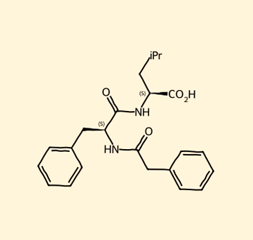 CC(C)C[C@H](NC(=O)[C@H](Cc1ccccc1)NC(=O)Cc1ccccc1)C(=O)O